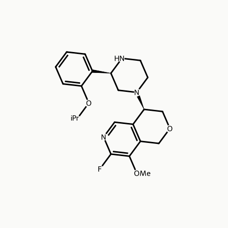 COc1c(F)ncc2c1COC[C@@H]2N1CCN[C@H](c2ccccc2OC(C)C)C1